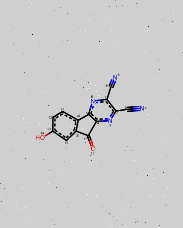 N#Cc1nc2c(nc1C#N)-c1ccc(O)cc1C2=O